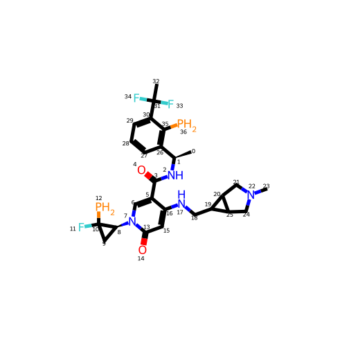 C[C@@H](NC(=O)c1cn([C@H]2CC2(F)P)c(=O)cc1NCC1C2CN(C)CC12)c1cccc(C(C)(F)F)c1P